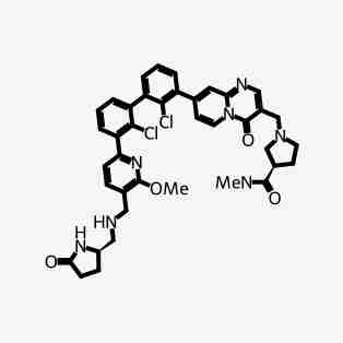 CNC(=O)[C@@H]1CCN(Cc2cnc3cc(-c4cccc(-c5cccc(-c6ccc(CNC[C@H]7CCC(=O)N7)c(OC)n6)c5Cl)c4Cl)ccn3c2=O)C1